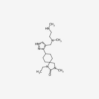 CCN1C(=O)N(C)CC12CCC(c1n[nH]cc1CN(C)CCNC)CC2